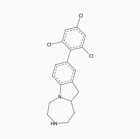 Clc1cc(Cl)c(-c2ccc3c(c2)CC2CCNCCN32)c(Cl)c1